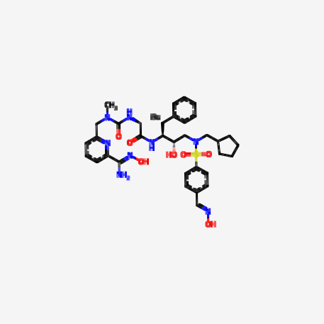 CC[C@H](C)[C@H](NC(=O)N(C)Cc1cccc(C(N)=NO)n1)C(=O)N[C@@H](Cc1ccccc1)[C@@H](O)CN(CC1CCCC1)S(=O)(=O)c1ccc(C=NO)cc1